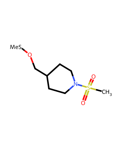 CSOCC1CCN(S(C)(=O)=O)CC1